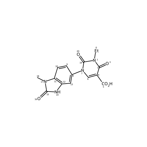 CCn1c(=O)c(C(=O)O)cn(-c2ccc3c(c2)[nH]c(=O)n3C)c1=O